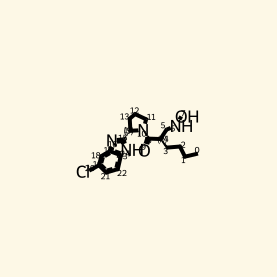 CCCC[C@H](CNO)C(=O)N1CCC[C@H]1c1nc2cc(Cl)ccc2[nH]1